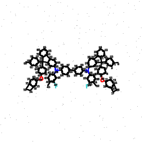 Cc1ccc(C2(c3ccc(Oc4ccc5c(c4)CC5)cc3)c3ccccc3-c3ccc(N(c4ccc(-c5ccc(N(c6ccc(C)c(F)c6)c6ccc7c(c6)C(c6ccc(C)cc6)(c6ccc(Oc8ccc9c(c8)CC9)cc6)c6ccccc6-7)cc5)cc4)c4ccc(C)c(F)c4)cc32)cc1